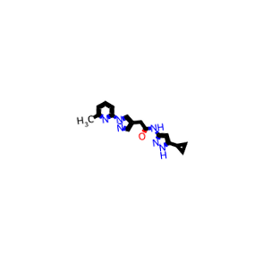 Cc1cccc(-n2cc(CC(=O)Nc3cc(C4CC4)[nH]n3)cn2)n1